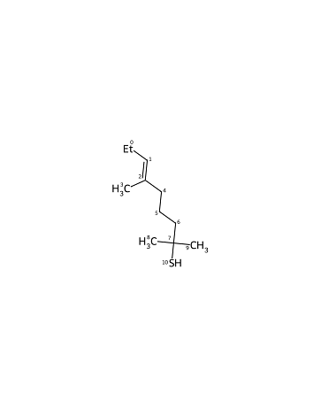 CC/C=C(\C)CCCC(C)(C)S